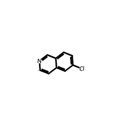 Clc1ccc2cn[c]cc2c1